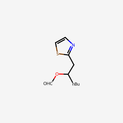 CCCCC(Cc1nccs1)OC=O